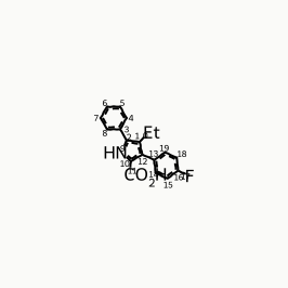 CCc1c(-c2ccccc2)[nH]c(C(=O)O)c1-c1ccc(F)cc1